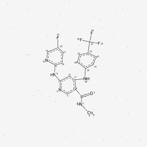 CNC(=O)c1cnc(Nc2ccc(F)cn2)cc1Nc1ccc(C(F)(F)F)cc1